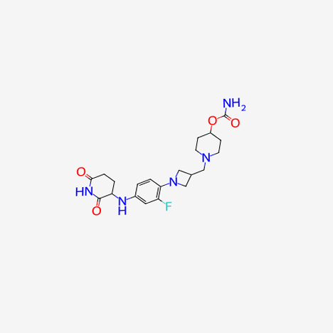 NC(=O)OC1CCN(CC2CN(c3ccc(NC4CCC(=O)NC4=O)cc3F)C2)CC1